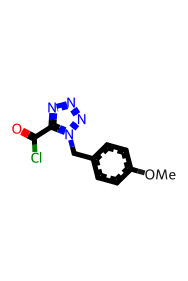 COc1ccc(Cn2nnnc2C(=O)Cl)cc1